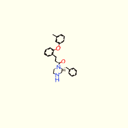 Cc1cccc(Oc2ccccc2CCC(=O)N2CCNC[C@H]2Cc2ccccc2)c1